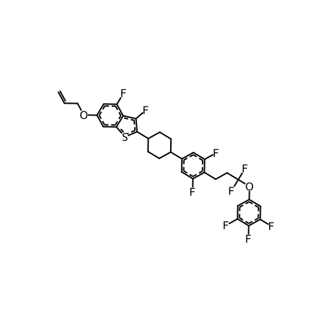 C=CCOc1cc(F)c2c(F)c(C3CCC(c4cc(F)c(CCC(F)(F)Oc5cc(F)c(F)c(F)c5)c(F)c4)CC3)sc2c1